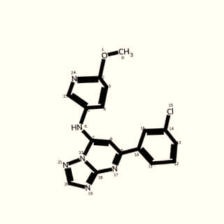 COc1ccc(Nc2cc(-c3cccc(Cl)c3)nc3ncnn23)cn1